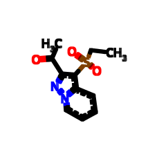 CCS(=O)(=O)c1c(C(C)=O)nn2ccccc12